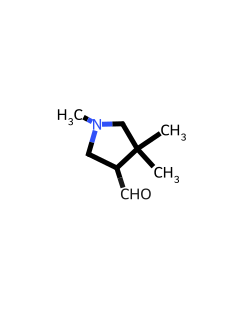 CN1CC(C=O)C(C)(C)C1